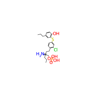 CCCc1ccc(O)c(Sc2ccc(CC[C@@](N)(CCC)COP(=O)(O)O)c(Cl)c2)c1